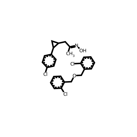 C/C(CC1CC1c1ccc(Cl)cc1)=N\O.Clc1ccccc1COCc1ccccc1Cl